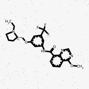 CCN1CCC[C@H]1COc1cc(NC(=O)c2cccc3c(OC)ncnc23)cc(C(F)(F)F)c1